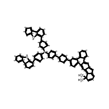 CC1(C)C=CC=C2C=c3cc4c5ccccc5c5cc(-c6ccc(-c7ccc(N(c8ccc(-c9cccc%10c9oc9ccccc9%10)cc8)c8ccc(-c9cccc%10c9oc9ccccc9%10)cc8)cc7)cc6)ccc5c4cc3=C21